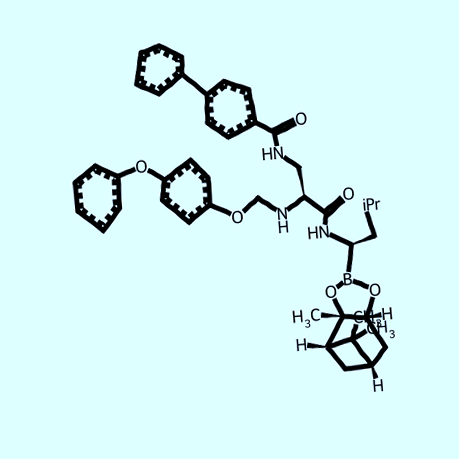 CC(C)C[C@H](NC(=O)[C@H](CNC(=O)c1ccc(-c2ccccc2)cc1)NCOc1ccc(Oc2ccccc2)cc1)B1O[C@@H]2C[C@@H]3C[C@@H](C3(C)C)[C@]2(C)O1